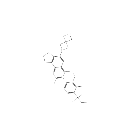 Cc1nc(N[C@H](C)c2cccc(C(F)(F)CO)c2F)c2cc(N3CC4(COC4)C3)c3c(c2n1)CCC3